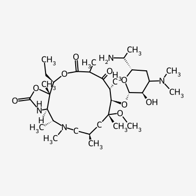 CC[C@H]1OC(=O)C(C)C(=O)[C@H](C)[C@@H](O[C@@H]2O[C@H](C(C)N)CC(N(C)C)[C@H]2O)[C@](C)(OC)C[C@@H](C)CN(C)[C@H](C)[C@H]2NC(=O)O[C@@]21C